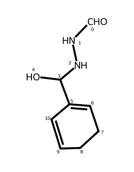 O=CNNC(O)C1=CCCC=C1